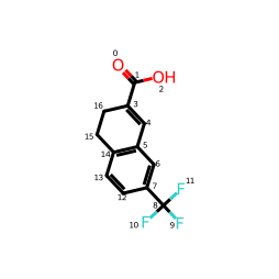 O=C(O)C1=Cc2cc(C(F)(F)F)ccc2CC1